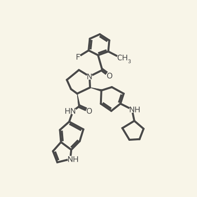 Cc1cccc(F)c1C(=O)N1CCC[C@H](C(=O)Nc2ccc3[nH]ccc3c2)[C@@H]1C1C=CC(NC2CCCC2)=CC1